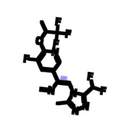 C=N/C(=C\n1c(C)nnc1C(F)F)c1cnc(OC(C)C(F)(F)F)c(F)c1